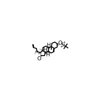 C=CC[C@@H](C)[C@H]1C(=O)C[C@H]2[C@@H]3CC=C4C[C@@H](O[Si](C)(C)C(C)(C)C)CCC4(C)[C@H]3CC[C@]12C